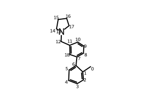 Cc1ccccc1-c1cccc(CN2CCCC2)c1